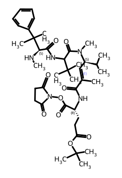 CN[C@H](C(=O)NC(C(=O)N(C)[C@H](/C=C(\C)C(=O)N[C@H](CCC(=O)OC(C)(C)C)C(=O)ON1C(=O)CCC1=O)C(C)C)C(C)(C)C)C(C)(C)c1ccccc1